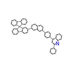 c1ccc(-c2cc(-c3ccc(-c4ccc5ccc(-c6ccc7c(c6)C6(c8ccccc8-c8ccccc86)c6ccccc6-7)cc5c4)cc3)c3ccccc3n2)cc1